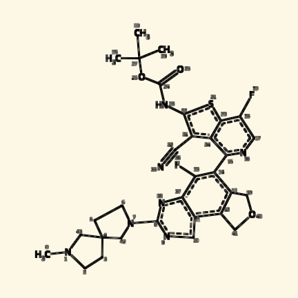 CN1CCC2(CCN(c3ncc4c5c(c(-c6ncc(F)c7sc(NC(=O)OC(C)(C)C)c(C#N)c67)c(F)c4n3)COC5)C2)C1